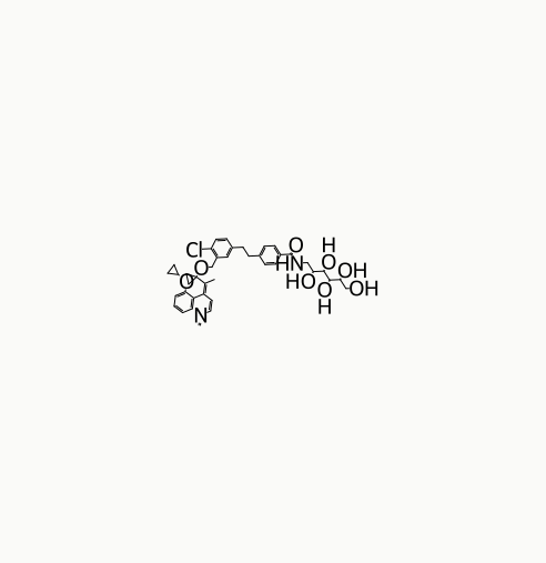 C=N/C=C\C(=C(/C)C1(OCc2cc(CCc3ccc(C(=O)NC[C@H](O)[C@@H](O)[C@H](O)[C@H](O)CO)cc3)ccc2Cl)CC1)c1ccccc1OC1CC1